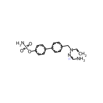 C=CN(Cc1ccc(-c2ccc(OS(N)(=O)=O)cc2)cc1)/N=C\N